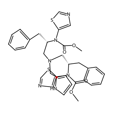 COC(=O)N(c1cncs1)[C@@H](Cc1ccccc1)CN(Cc1ccc[nH]1)C[C@H](Cc1ccccc1)N(C(=O)OC)c1cncs1